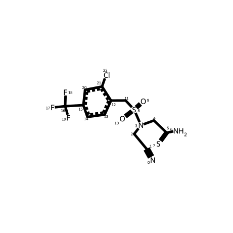 N#CCN(CC(N)=S)S(=O)(=O)Cc1ccc(C(F)(F)F)cc1Cl